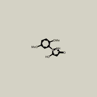 COc1ccc(OC)c(-n2[nH]c(=O)cc2O)c1